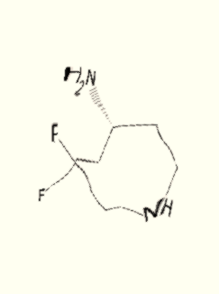 N[C@@H]1CCNCC1(F)F